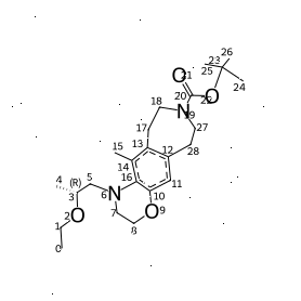 CCO[C@H](C)CN1CCOc2cc3c(c(C)c21)CCN(C(=O)OC(C)(C)C)CC3